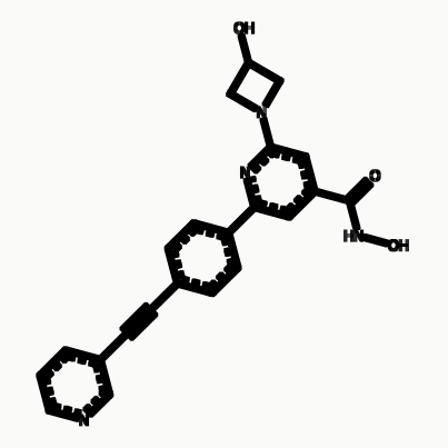 O=C(NO)c1cc(-c2ccc(C#Cc3cccnc3)cc2)nc(N2CC(O)C2)c1